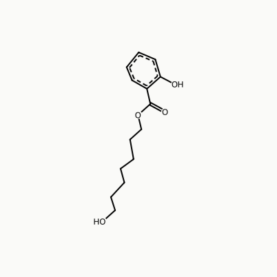 O=C(OCCCCCCCO)c1ccccc1O